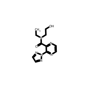 CCN(CCO)C(=O)c1nccnc1-n1nccn1